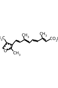 CC(/C=C/c1c(C)coc1C)=C\C=C\C(C)=C\C(=O)O